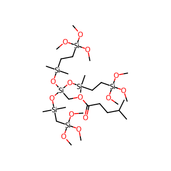 CO[Si](CC[Si](C)(C)O[Si](COC(=O)CCC(C)C)(O[Si](C)(C)CC[Si](OC)(OC)OC)O[Si](C)(C)C[Si](OC)(OC)OC)(OC)OC